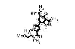 COCCN(C)C(=O)c1cc(-c2cn([C@@H](C)C(C)C)c(=O)c3c(N)n[nH]c23)nn1C